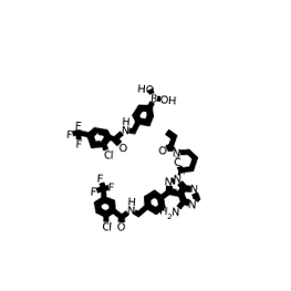 C=CC(=O)N1CCC[C@@H](n2nc(-c3ccc(CNC(=O)c4cc(C(F)(F)F)ccc4Cl)cc3)c3c(N)ncnc32)C1.O=C(NCc1ccc(B(O)O)cc1)c1ccc(C(F)(F)F)cc1Cl